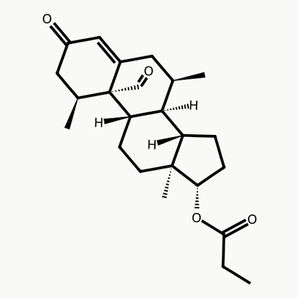 CCC(=O)O[C@H]1CC[C@H]2[C@@H]3[C@H](C)CC4=CC(=O)C[C@H](C)[C@]4(C=O)[C@H]3CC[C@]12C